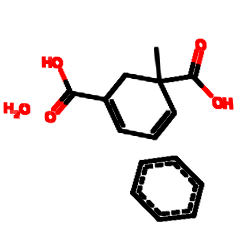 CC1(C(=O)O)C=CC=C(C(=O)O)C1.O.c1ccccc1